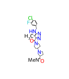 CNC(=O)[C@@H]1CCN(C2CCN(C(=O)c3ncnc(NCc4ccc(Cl)c(F)c4)c3C)CC2)C1